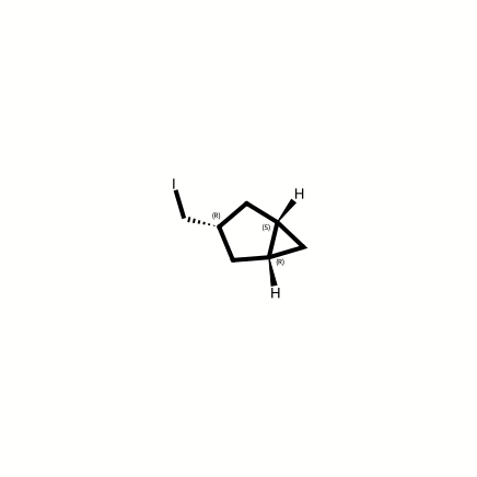 IC[C@@H]1C[C@@H]2C[C@@H]2C1